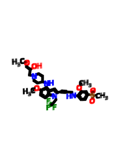 COCC(O)CN1CCC(Nc2c(OC)ccc3c2cc(C#CCNc2ccc(S(C)(=O)=O)cc2OC)n3CC(F)(F)F)CC1